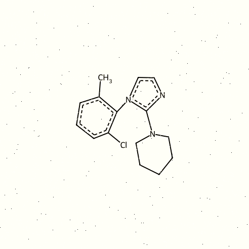 Cc1cccc(Cl)c1-n1ccnc1N1CCCCC1